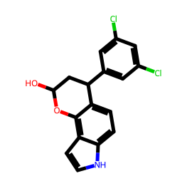 OC1CC(c2cc(Cl)cc(Cl)c2)c2ccc3[nH]ccc3c2O1